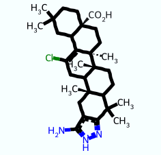 CC1(C)CC[C@]2(C(=O)O)CC[C@]3(C)C(=C(Cl)CC4[C@@]5(C)Cc6c(n[nH]c6N)C(C)(C)C5CC[C@]43C)C2C1